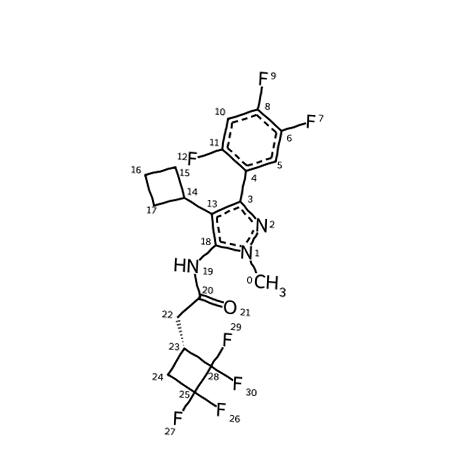 Cn1nc(-c2cc(F)c(F)cc2F)c(C2CCC2)c1NC(=O)C[C@H]1CC(F)(F)C1(F)F